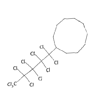 ClC(Cl)(Cl)C(Cl)(Cl)C(Cl)(Cl)C(Cl)(Cl)C(Cl)(Cl)C1CCCCCCCCC1